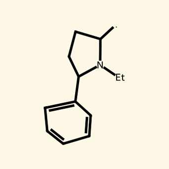 [CH2]C1CCC(c2ccccc2)N1CC